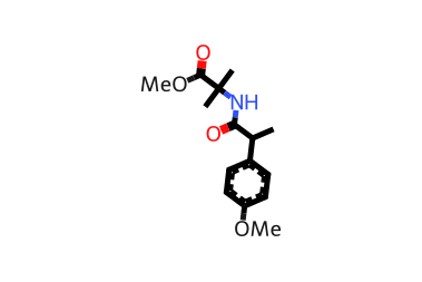 COC(=O)C(C)(C)NC(=O)C(C)c1ccc(OC)cc1